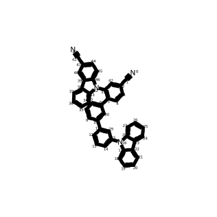 N#Cc1ccc(-c2cccc(-c3cccc(-n4c5ccccc5c5ccccc54)c3)c2)c(-n2c3ccccc3c3cc(C#N)ccc32)c1